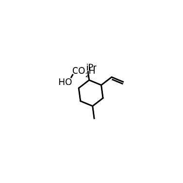 C=CC1CC(C)CCC1C(C)C.O=C(O)O